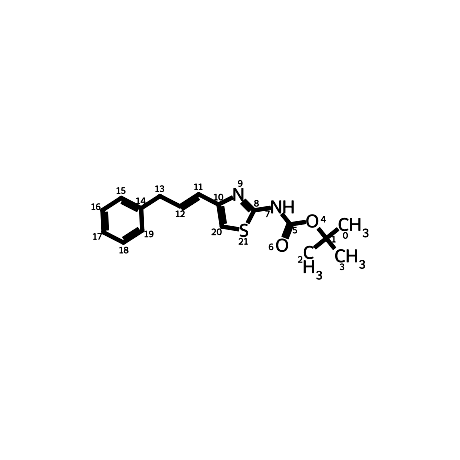 CC(C)(C)OC(=O)Nc1nc(C=CCc2ccccc2)cs1